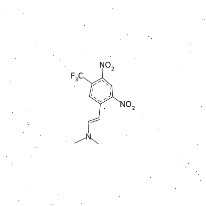 CN(C)C=Cc1cc(C(F)(F)F)c([N+](=O)[O-])cc1[N+](=O)[O-]